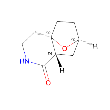 O=C1NCC[C@@]23CC[C@@H](C[C@H]12)O3